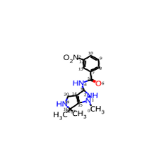 CN1NC(NC(=O)c2cccc([N+](=O)[O-])c2)C2=C1C(C)(C)NC2